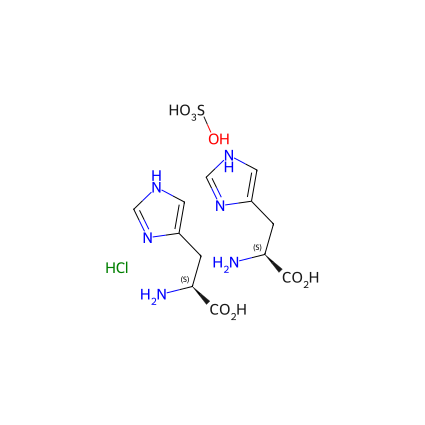 Cl.N[C@@H](Cc1c[nH]cn1)C(=O)O.N[C@@H](Cc1c[nH]cn1)C(=O)O.O=S(=O)(O)O